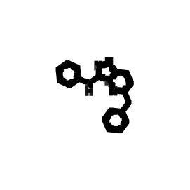 c1ccc(Cc2ccc3nnc(Nc4ccccc4)n3n2)cc1